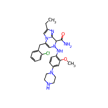 CCC1=C[N+]2C(Cc3ccccc3Cl)=CN(Nc3ccc(N4CCNCC4)cc3OC)C(C(N)=O)C2=N1